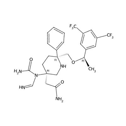 C[C@@H](OC[C@@]1(c2ccccc2)CC[C@](CC(N)=O)(N(C=N)C(N)=O)CN1)c1cc(C(F)(F)F)cc(C(F)(F)F)c1